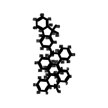 CN(c1ccccc1)c1ccccc1-c1ccc(-c2ccccc2N(c2ccccc2)c2ccc3c(c2)C(C)(C)c2ccccc2-3)cc1